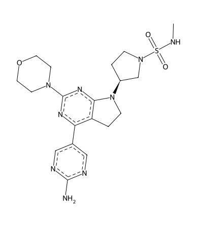 CNS(=O)(=O)N1CC[C@H](N2CCc3c(-c4cnc(N)nc4)nc(N4CCOCC4)nc32)C1